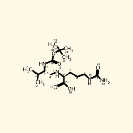 CC(C)[C@@H](CN[C@@H](CCCNC(N)=O)C(=O)O)NC(=O)OC(C)(C)C